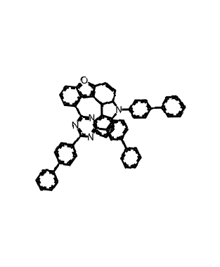 C1=CC2C(c3ccccc3N2c2ccc(-c3ccccc3)cc2)c2c1oc1cccc(-c3nc(-c4ccc(-c5ccccc5)cc4)nc(-c4cccc(-c5ccccc5)c4)n3)c21